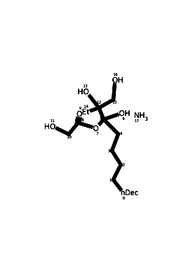 CCCCCCCCCCCCCCC(O)(OC(=O)CO)C(O)(CC)CO.N